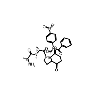 C[C@H](N)C(=O)N[C@@H](C)C(=O)N1CCC2C(=O)CCC(=O)[C@@]21C(=O)N(C(=O)c1ccccc1)c1ccc([N+](=O)[O-])cc1